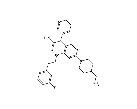 NCC1CCN(c2ccc(C(C(N)=O)c3cccnc3)c(NCCc3cccc(F)c3)n2)CC1